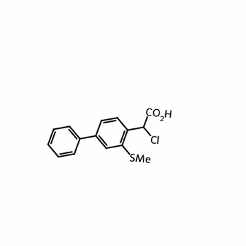 CSc1cc(-c2ccccc2)ccc1C(Cl)C(=O)O